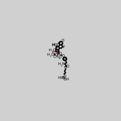 CC1(C)O[C@@H]2CC3C4C[C@H](F)C5=CC(=O)C=C[C@]5(C)[C@@]4(F)[C@@H](O)C[C@]3(C)[C@]2(C(=O)COC(=O)Oc2ccc(C[C@H](N)C(=O)OCCCCON(O)O)cc2)O1